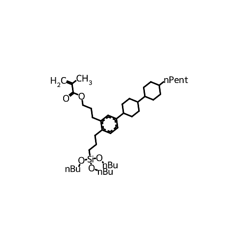 C=C(C)C(=O)OCCCc1cc(C2CCC(C3CCC(CCCCC)CC3)CC2)ccc1CCC[Si](OCCCC)(OCCCC)OCCCC